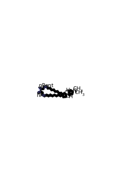 CCCCC/C=C\C/C=C\CCCCCCCCC1(CCCCCCCC/C=C\C/C=C\CCCCC)CCC2(C1)O[C@@H]1CC(N(C)C)C[C@H]1O2